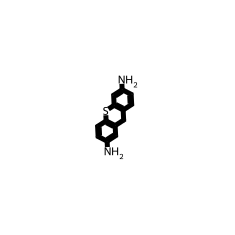 Nc1ccc2c(c1)Cc1ccc(N)cc1S2